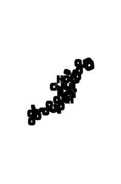 C#C[C@]1(COC(=O)C23CCC(CC2)C3)OCC(n2cnc3c(NC(=O)OC(C)(C)CC(=O)OCc4oc(=O)oc4C)nc(Cl)nc32)[C@@H]1O